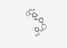 CCOc1ccccc1O[C@@H]1CCCN(c2cncc(Nc3nccc(N4CCC[C@H]4C(=O)O)n3)n2)C1